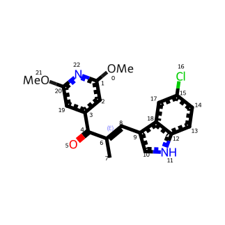 COc1cc(C(=O)/C(C)=C/c2c[nH]c3ccc(Cl)cc23)cc(OC)n1